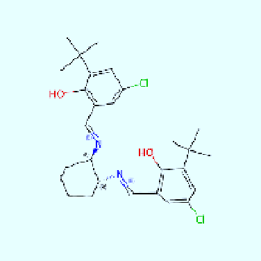 CC(C)(C)c1cc(Cl)cc(/C=N/[C@@H]2CCCC[C@H]2/N=C/c2cc(Cl)cc(C(C)(C)C)c2O)c1O